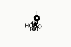 COC(Cc1ccc(I)cc1)(C(=O)O)C(=O)O